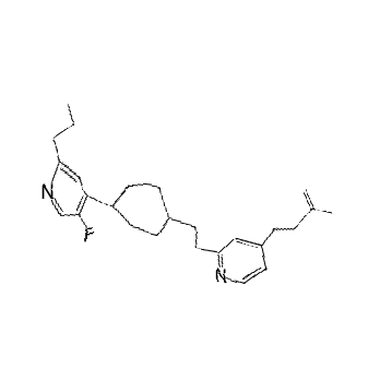 C=C(C)CCc1ccnc(CCC2CCC(c3cc(CCC)ncc3F)CC2)c1